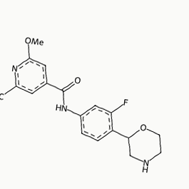 COc1cc(C(=O)Nc2ccc(C3CNCCO3)c(F)c2)cc(C#N)n1